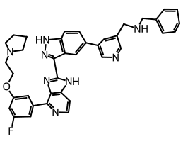 Fc1cc(OCCN2CCCC2)cc(-c2nccc3[nH]c(-c4n[nH]c5ccc(-c6cncc(CNCc7ccccc7)c6)cc45)nc23)c1